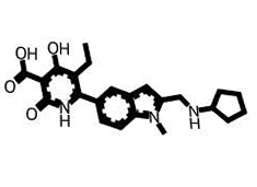 CCc1c(-c2ccc3c(c2)cc(CNC2CCCC2)n3C)[nH]c(=O)c(C(=O)O)c1O